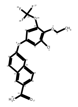 CCOc1c(Cl)cc(Oc2ccc3cc(C(C)=O)ccc3c2)cc1OC(F)(F)F